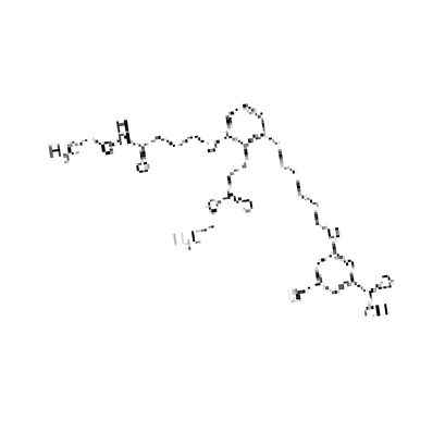 CCONC(=O)CCCOc1cccc(CCCCCCOc2cc(Br)cc(C(=O)O)c2)c1CCC(=O)OCC